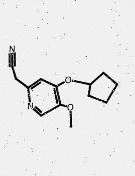 COc1cnc(CC#N)cc1OC1CCCC1